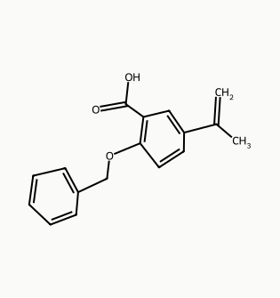 C=C(C)c1ccc(OCc2ccccc2)c(C(=O)O)c1